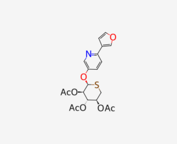 CC(=O)O[C@@H]1[C@@H](OC(C)=O)[C@@H](Oc2ccc(-c3ccoc3)nc2)SC[C@H]1OC(C)=O